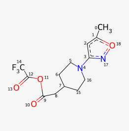 Cc1cc(N2CCC(CC(=O)OC(=O)C(F)(F)F)CC2)no1